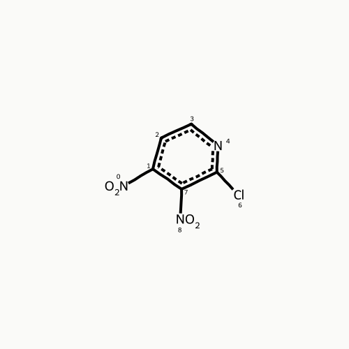 O=[N+]([O-])c1ccnc(Cl)c1[N+](=O)[O-]